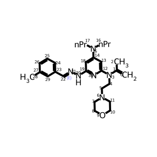 C=C(C)N(CCN1CCOCC1)c1cc(N(CCC)CCC)cc(N/N=C/c2cccc(C)c2)n1